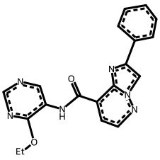 CCOc1ncncc1NC(=O)c1ccnn2cc(-c3ccccc3)nc12